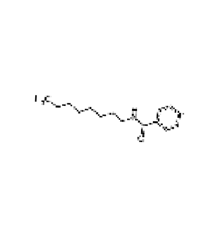 CCCCCCCCNC(=O)c1cc[c]cc1